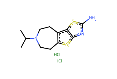 CC(C)N1CCc2sc3nc(N)sc3c2CC1.Cl.Cl